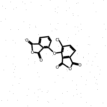 O=C1OC(=O)c2c(Oc3c(Cl)ccc4c3C(=O)OC4=O)cccc21